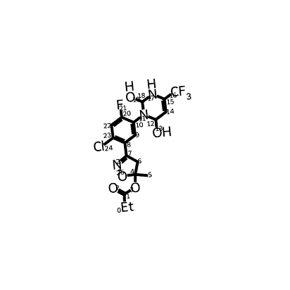 CCC(=O)OC1(C)CC(c2cc(N3C(O)C=C(C(F)(F)F)NC3O)c(F)cc2Cl)=NO1